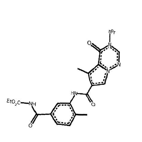 CCCn1cnn2cc(C(=O)Nc3cc(C(=O)NC(=O)OCC)ccc3C)c(C)c2c1=O